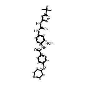 CC(C)(C)c1cc(NC(=O)Nc2ccc(NC(=O)c3ccc(OC4CCNCC4)cn3)cc2)no1.Cl